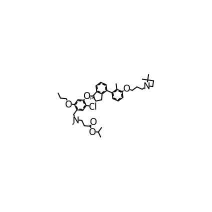 CCCOc1cc(O[C@H]2CCc3c(-c4cccc(OCCCN5CCC5(C)C)c4C)cccc32)c(Cl)cc1CN(C)CCC(=O)OC(C)C